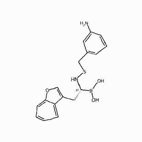 Nc1cccc(CSN[C@@H](Cc2coc3ccccc23)B(O)O)c1